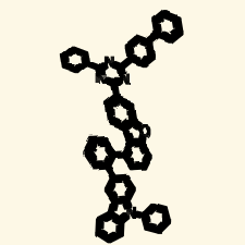 c1ccc(-c2ccc(-c3nc(-c4ccccc4)nc(-c4ccc5c(c4)oc4cccc(-c6ccccc6-c6ccc7c(c6)c6ccccc6n7-c6ccccc6)c45)n3)cc2)cc1